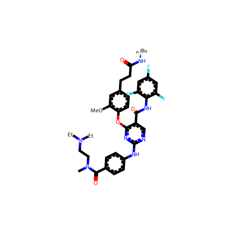 CC[C@@H](C)NC(=O)CCc1ccc(Oc2nc(Nc3ccc(C(=O)N(C)CCN(CC)CC)cc3)ncc2C(=O)Nc2c(F)cc(F)cc2F)c(OC)c1